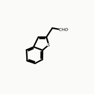 O=[C]Cc1cc2ccccc2s1